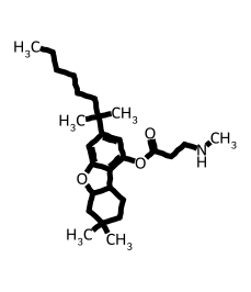 CCCCCCC(C)(C)c1cc(OC(=O)CCNC)c2c(c1)OC1CC(C)(C)CCC21